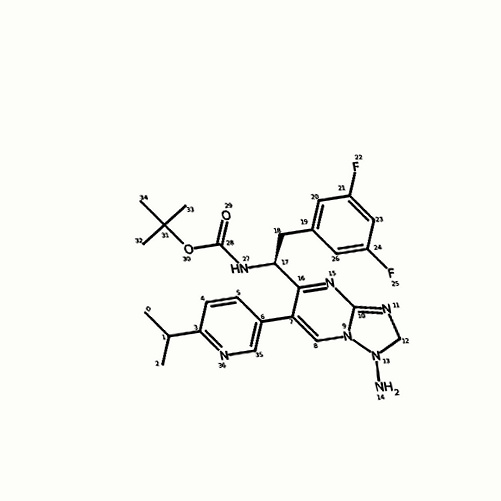 CC(C)c1ccc(C2=CN3C(=NCN3N)N=C2[C@H](Cc2cc(F)cc(F)c2)NC(=O)OC(C)(C)C)cn1